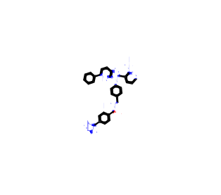 Nc1ncccc1-c1nc2ccc(-c3ccccc3)nc2n1-c1ccc(CNC(=O)c2ccc(-c3nn[nH]n3)cc2)cc1